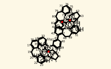 O=C(O)[C@@H]1[C@H]2CC[C@@H](CN1C(=O)N1c3ccccc3CCc3ccccc31)N2C(=O)N(c1ccccc1)c1cccc(-c2cccc3c2CCc2ccccc2N3C(=O)N2C[C@@H]3CC[C@H]([C@H]2C(=O)O)N3C(=O)N2c3ccccc3CCc3ccccc32)c1